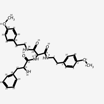 COc1ccc(CCNC(=O)C(NC(=O)C(S)Cc2ccccc2)C(=O)NCCc2ccc(OC)cc2)cc1